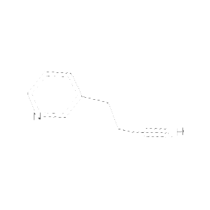 C#CCCc1[c]nccc1